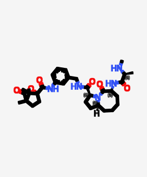 CN[C@@H](C)C(=O)N[C@H]1CCCC[C@H]2CC[C@@H](C(=O)NCc3cccc(NC(=O)C45CCC(C)(C(=O)O4)C5(C)C)c3)N2C1=O